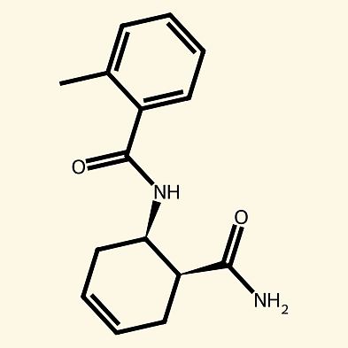 Cc1ccccc1C(=O)N[C@@H]1CC=CC[C@@H]1C(N)=O